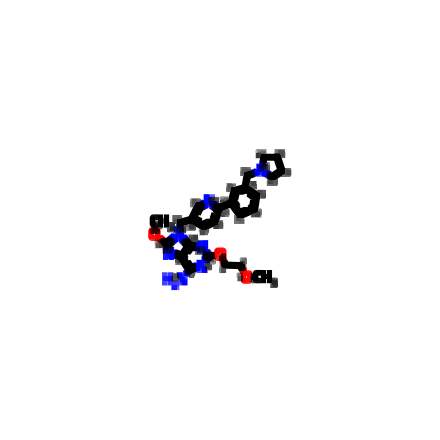 COCCOc1nc(N)c2nc(OC)n(Cc3ccc(-c4cccc(CN5CCCC5)c4)nc3)c2n1